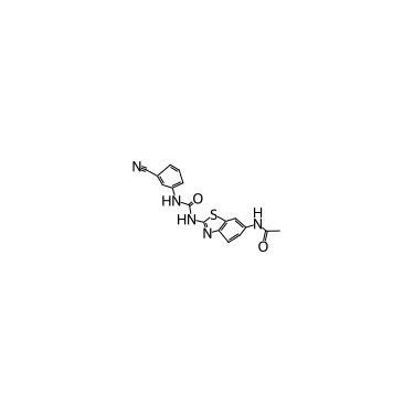 CC(=O)Nc1ccc2nc(NC(=O)Nc3cccc(C#N)c3)sc2c1